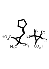 CC1(C)C(C=C2CCCC2)C1C(=O)O.CCC1(CC)C(C(=O)O)C1(CC)CC